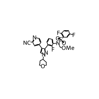 COCN(c1cccc(-c2nn(C3CCOCC3)cc2-c2ccnc(C#N)c2)c1F)S(=O)(=O)c1cc(F)ccc1F